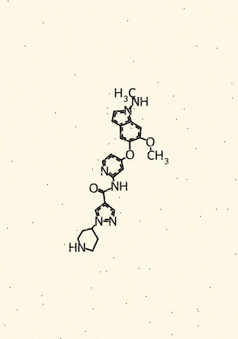 CNn1ccc2cc(Oc3ccnc(NC(=O)c4cnn(C5CCNCC5)c4)c3)c(OC)cc21